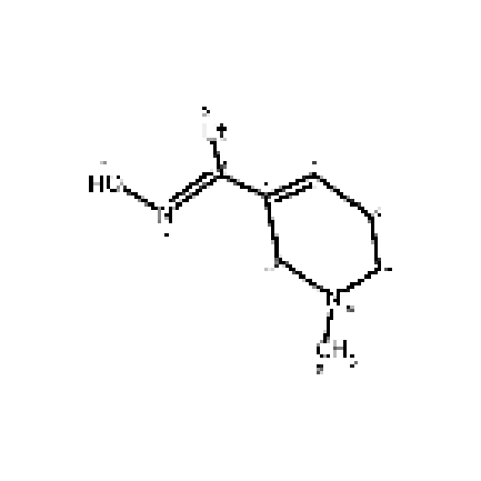 CCC(=NO)C1=CCCN(C)C1